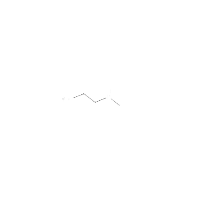 CPCCC=O